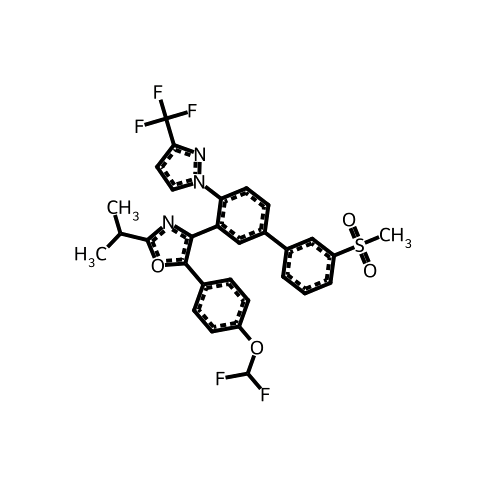 CC(C)c1nc(-c2cc(-c3cccc(S(C)(=O)=O)c3)ccc2-n2ccc(C(F)(F)F)n2)c(-c2ccc(OC(F)F)cc2)o1